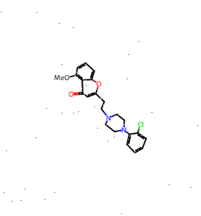 COc1cccc2oc(CCN3CCN(c4ccccc4Cl)CC3)cc(=O)c12